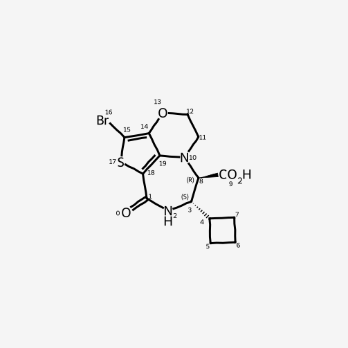 O=C1N[C@@H](C2CCC2)[C@H](C(=O)O)N2CCOc3c(Br)sc1c32